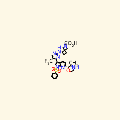 CC1NCCO[C@@H]1c1ccc2c(-c3nc(N[C@@H]4CCC45CN(C(=O)O)C5)ncc3C(F)(F)F)cn(S(=O)(=O)c3ccccc3)c2n1